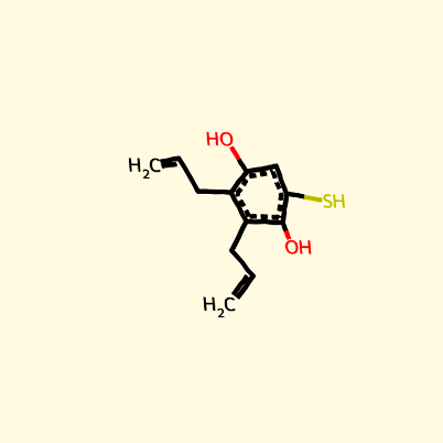 C=CCc1c(O)cc(S)c(O)c1CC=C